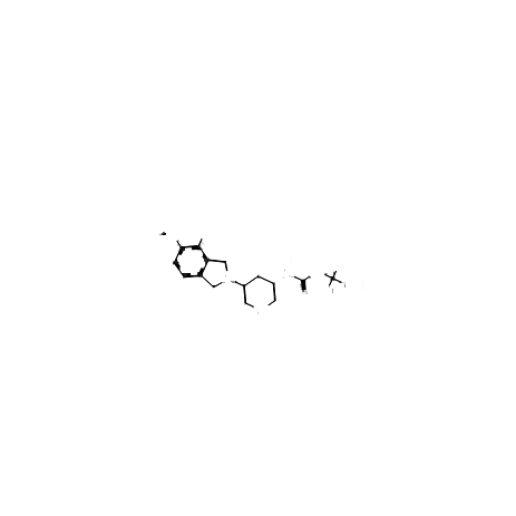 C[S+]([O-])c1ccc2c(c1Cl)CN(C1COC[C@@H](NC(=O)OC(C)(C)C)C1)C2